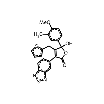 COc1ccc(C2(O)OC(=O)C(c3ccc4nsnc4c3)=C2Cc2cccs2)cc1C